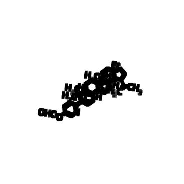 C=C(C)[C@@H]1CC[C@]2(CC)CC[C@]3(C)[C@H](CC[C@@H]4[C@@]5(C)CC=C(c6ccc(OC=O)cn6)C(C)(C)[C@@H]5CC[C@]43C)[C@@H]12